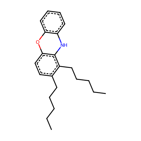 CCCCCc1ccc2c(c1CCCCC)Nc1ccccc1O2